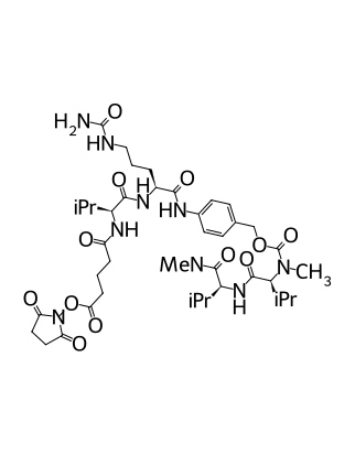 CNC(=O)[C@@H](NC(=O)[C@H](C(C)C)N(C)C(=O)OCc1ccc(NC(=O)[C@H](CCCNC(N)=O)NC(=O)[C@@H](NC(=O)CCCC(=O)ON2C(=O)CCC2=O)C(C)C)cc1)C(C)C